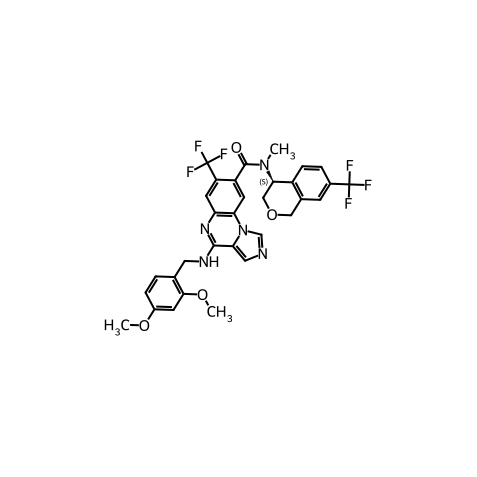 COc1ccc(CNc2nc3cc(C(F)(F)F)c(C(=O)N(C)[C@@H]4COCc5cc(C(F)(F)F)ccc54)cc3n3cncc23)c(OC)c1